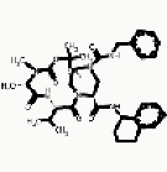 CC(C)[C@H](NC(=O)[C@H](C)N(C)C(=O)OC(C)(C)C)C(=O)N1CCN(C(=O)NCc2ccccc2)C[C@H]1C(=O)N[C@@H]1CCCc2ccccc21